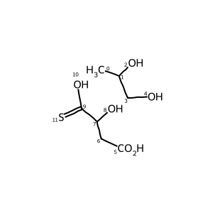 CC(O)CO.O=C(O)CC(O)C(O)=S